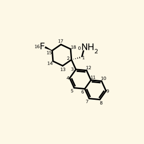 NC[C@]1(c2ccc3ccccc3c2)CC[C@@H](F)CC1